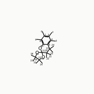 Cc1c(C)c(C)c2c(c1C)OC1(OC(C)(C)C(C)(C)O1)C(C)(C)C2(C)C